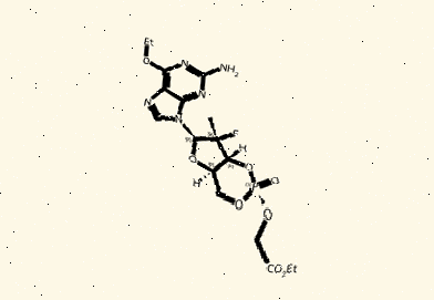 CCOC(=O)CO[P@]1(=O)OC[C@H]2O[C@@H](n3cnc4c(OCC)nc(N)nc43)[C@](C)(F)[C@@H]2O1